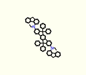 CCN(c1ccc2c(c1)C(c1ccccc1)(c1ccccc1)c1cc3c(cc1-2)C(c1ccccc1)(c1ccccc1)c1cc(N(CC)c2cccc4c2-c2ccccc2C4)ccc1-3)c1cccc2c1-c1ccccc1C2